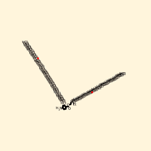 CCN(CC)CCOC(=O)c1ccc(N)cc1.Cl.Cl.Cl.Cl.Cl.Cl.Cl.Cl.Cl.Cl.Cl.Cl.Cl.Cl.Cl.Cl.Cl.Cl.Cl.Cl.Cl.Cl.Cl.Cl.Cl.Cl.Cl.Cl.Cl.Cl.Cl.Cl.Cl.Cl.Cl.Cl.Cl.Cl.Cl.Cl.Cl.Cl.Cl.Cl.Cl.Cl.Cl.Cl.Cl.Cl.Cl.Cl.Cl.Cl.Cl.Cl.Cl.Cl.Cl.Cl.Cl.Cl.Cl.Cl.Cl.Cl.Cl.Cl.Cl.Cl.Cl.Cl.Cl.Cl.Cl.Cl.Cl.Cl.Cl.Cl.Cl.Cl.Cl.Cl.Cl.Cl.Cl.Cl.Cl.Cl.Cl.Cl.Cl.Cl.Cl.Cl.Cl.Cl.Cl.Cl